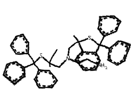 CC(C)(CN(CCN)CC(C)(C)SC(c1ccccc1)(c1ccccc1)c1ccccc1)SC(c1ccccc1)(c1ccccc1)c1ccccc1